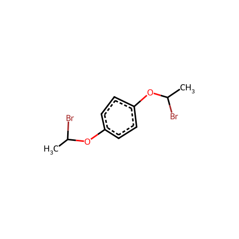 CC(Br)Oc1ccc(OC(C)Br)cc1